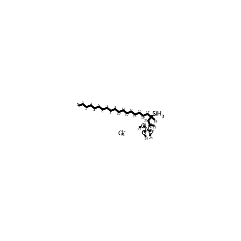 CCCCCCCCCCCCCCCCCCC(C)([SiH3])CC(C)[N+](OC)(OC)OC.[Cl-]